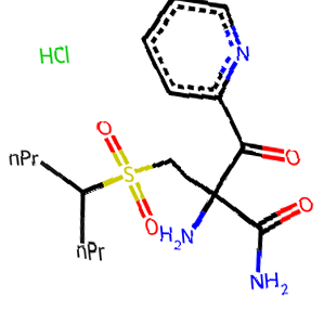 CCCC(CCC)S(=O)(=O)CC(N)(C(N)=O)C(=O)c1ccccn1.Cl